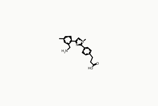 Cc1ccc(-c2cn(C)c(-c3ccc(CCC(=O)O)cc3)n2)c(CN)c1